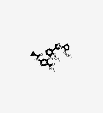 COc1c(Nc2cc(NC(=O)C3CC3)ncc2C(N)=O)cccc1-c1cnn(C2CCCC2OC)c1